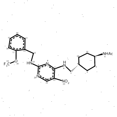 CC(=O)N[C@H]1CC[C@H](CNc2nc(NCc3ccccc3OC(F)(F)F)ncc2[N+](=O)[O-])CC1